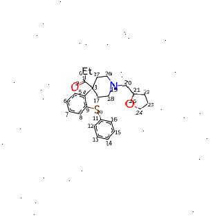 CCC(=O)C1(c2ccccc2Sc2ccccc2)CCN(CC2CCCO2)CC1